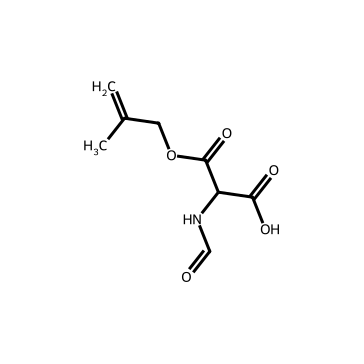 C=C(C)COC(=O)C(NC=O)C(=O)O